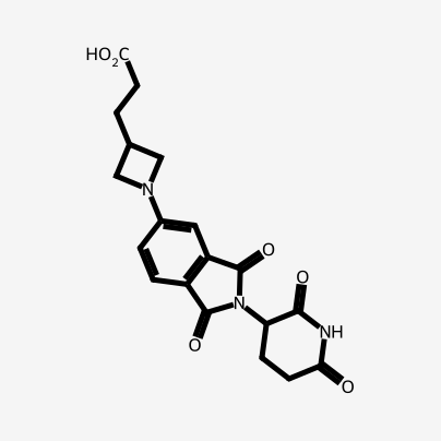 O=C(O)CCC1CN(c2ccc3c(c2)C(=O)N(C2CCC(=O)NC2=O)C3=O)C1